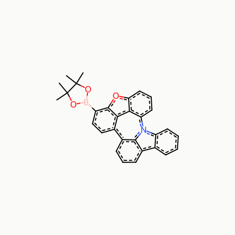 CC1(C)OB(c2ccc3c4cccc5c6ccccc6n(c6cccc7oc2c3c76)c45)OC1(C)C